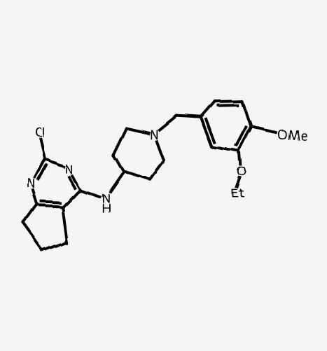 CCOc1cc(CN2CCC(Nc3nc(Cl)nc4c3CCC4)CC2)ccc1OC